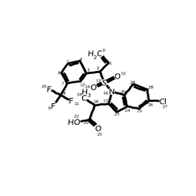 C=CC(c1cccc(C(F)(F)F)c1)S(=O)(=O)n1c(C(C)C(=O)O)cc2cc(Cl)ccc21